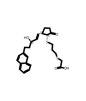 O=C(O)CSCCCS[C@H]1C(=O)CC[C@H]1C=C[C@H](O)CCc1ccc2ccccc2c1